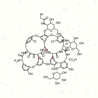 CC(=O)N[C@H]1C(O)[C@H](O)C(CO)O[C@H]1O[C@@H]1c2ccc(c(Cl)c2)Oc2cc3cc(c2O[C@@H]2OC(CO)[C@@H](O)[C@H](O)C2NC(=O)CC(C)C)Oc2ccc(cc2Cl)C[C@H]2NC(=O)[C@H](N)c4ccc(O)c(c4)Oc4cc(O)cc(c4)[C@H](NC2=O)C(=O)N[C@H]3C(=O)N[C@H]2C(=O)N[C@@H]1C(=O)N[C@H](C(=O)O)c1cc(O)cc(O[C@H]3OC(CO)[C@@H](O)[C@@H](O)C3O)c1-c1cc2ccc1O